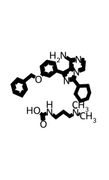 CN(C)CCCNC(=O)O.Nc1nccn2c(C3CCCCC3)nc(-c3cccc(OCc4ccccc4)c3)c12